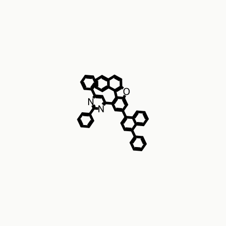 c1ccc(-c2cc(-c3cc(-c4ccc(-c5ccccc5)c5ccccc45)cc4oc5ccc6ccccc6c5c34)nc(-c3ccccc3)n2)cc1